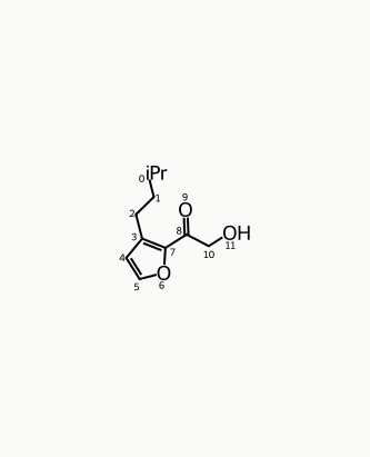 CC(C)CCc1ccoc1C(=O)CO